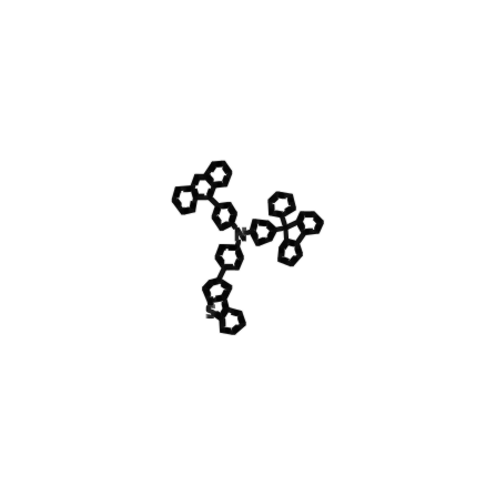 c1ccc(C2(c3ccc(N(c4ccc(-c5ccc6sc7ccccc7c6c5)cc4)c4ccc(-c5c6ccccc6cc6ccccc56)cc4)cc3)c3ccccc3-c3ccccc32)cc1